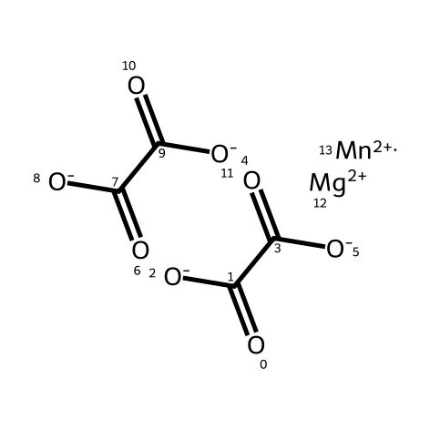 O=C([O-])C(=O)[O-].O=C([O-])C(=O)[O-].[Mg+2].[Mn+2]